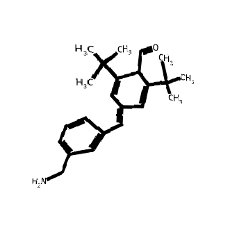 CC(C)(C)C1=CC(=Cc2cccc(CN)c2)C=C(C(C)(C)C)C1C=O